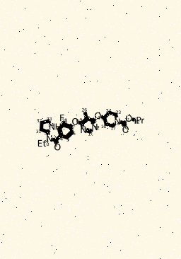 CCN(C(=O)c1ccc(Oc2ncnc(OC3CCN(C(=O)OC(C)C)CC3)c2C)c(F)c1)C1CCCN1